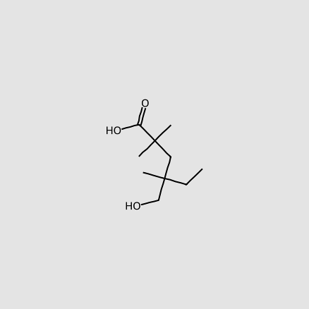 CCC(C)(CO)CC(C)(C)C(=O)O